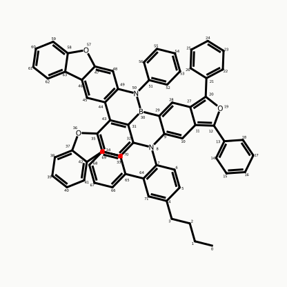 CCCCc1ccc(N2c3cc4c(-c5ccccc5)oc(-c5ccccc5)c4cc3B3c4c2cc2c(oc5ccccc52)c4-c2cc4c(cc2N3c2ccccc2)oc2ccccc24)c(-c2ccccc2)c1